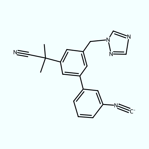 [C-]#[N+]c1cccc(-c2cc(Cn3cncn3)cc(C(C)(C)C#N)c2)c1